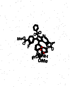 COC(=O)N[C@@H]1CC[C@@H](n2c(=O)n(C)c3cnc4c(c(-c5ccc6c(cnn6C(C)C)c5)c(-c5ccc(C(=O)OC)c(F)c5)n4S(=O)(=O)c4ccccc4)c32)C1